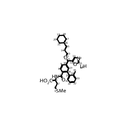 CSCCC(NC(=O)c1ccc(C(OCCCC2CCCCC2)c2cnco2)cc1-c1ccccc1C)C(=O)O.[LiH]